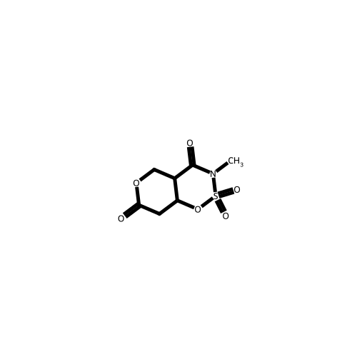 CN1C(=O)C2COC(=O)CC2OS1(=O)=O